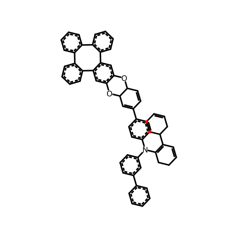 C1=CCC(C2=C(N(c3ccc(C4=CC5Oc6cc7c(cc6OC5C=C4)-c4ccccc4-c4ccccc4-c4ccccc4-7)cc3)c3cccc(-c4ccccc4)c3)CCC=C2)C=C1